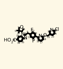 CC1(C)COCC1n1c(Cc2cc(F)c(-c3cccc(OCc4ccc(Cl)nc4)n3)cc2F)nc2ccc(C(=O)O)cc21